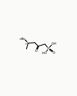 CCCC[C@H](C)CC(=O)CP(=O)(O)O